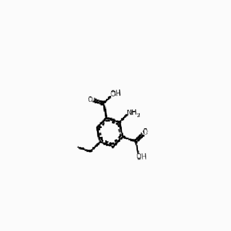 CCc1cc(C(=O)O)c(N)c(C(=O)O)c1